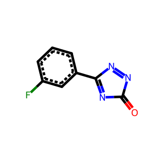 O=C1N=NC(c2cccc(F)c2)=N1